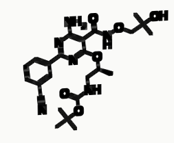 C[C@@H](CNC(=O)OC(C)(C)C)Oc1nc(-c2cccc(C#N)c2)nc(N)c1C(=O)NOCC(C)(C)O